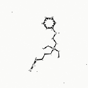 CC[N+](CC)(CCCN=C=S)CCOc1ccccc1